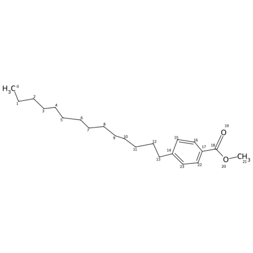 CCCCCCCCCCCCCCc1ccc(C(=O)OC)cc1